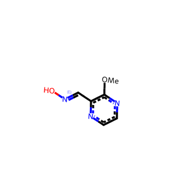 COc1nccnc1/C=N/O